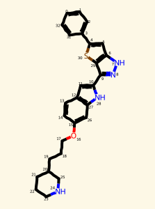 c1ccc(-c2cc3[nH]nc(-c4cc5ccc(OCCCC6CCCNC6)cc5[nH]4)c3s2)cc1